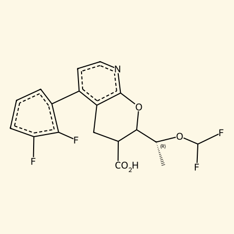 C[C@@H](OC(F)F)C1Oc2nccc(-c3cccc(F)c3F)c2CC1C(=O)O